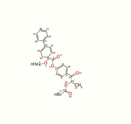 CCCCCCOC1(C(=O)Oc2ccc(C(=O)C(C)OC(=O)CCCC)cc2)C=CC(c2ccccc2)=CC1